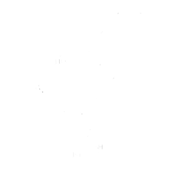 CC(C)(C)CC(C)(S)c1cc(N=O)c(O)c(C(C)(C)c2ccccc2)c1